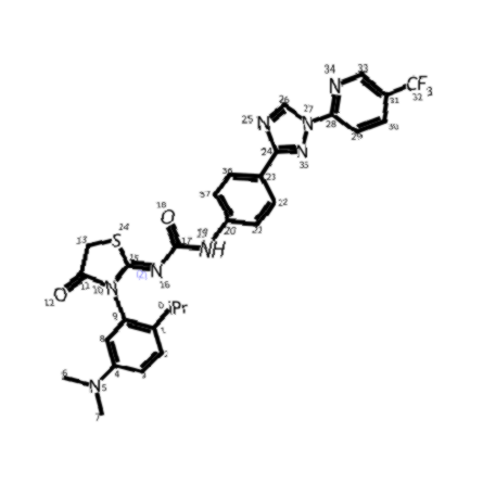 CC(C)c1ccc(N(C)C)cc1N1C(=O)CS/C1=N\C(=O)Nc1ccc(-c2ncn(-c3ccc(C(F)(F)F)cn3)n2)cc1